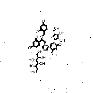 Clc1ccc(COC(Cn2ccnc2)c2ccc(Cl)cc2Cl)c(Cl)c1.Nc1ccn([C@@H]2O[C@H](CO)[C@@H](O)[C@@H]2O)c(=O)n1.OC[C@@H](O)[C@@H](O)[C@H](O)[C@H](O)CO